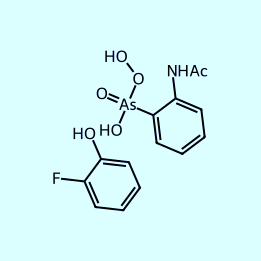 CC(=O)Nc1ccccc1[As](=O)(O)OO.Oc1ccccc1F